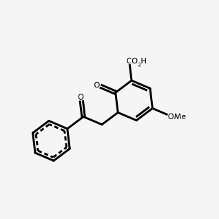 COC1=CC(CC(=O)c2ccccc2)C(=O)C(C(=O)O)=C1